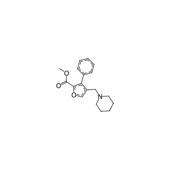 COC(=O)c1occ(CN2CCCCC2)c1-c1ccccc1